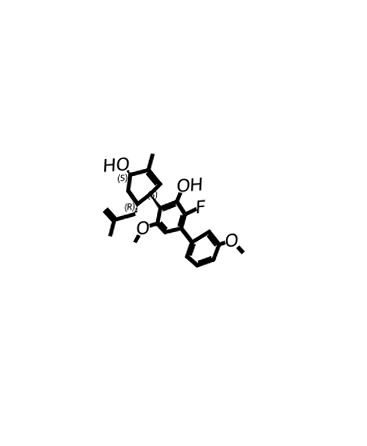 C=C(C)C[C@@H]1C[C@H](O)C(C)=C[C@H]1c1c(OC)cc(-c2cccc(OC)c2)c(F)c1O